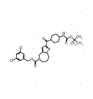 CC(C)(C)OC(=O)NC1CCN(C(=O)c2cc3n(n2)CCCN(C(=O)OCc2cc(Cl)cc(Cl)c2)C3)CC1